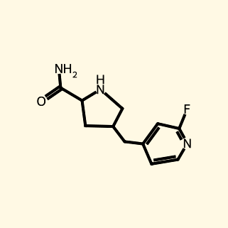 NC(=O)C1CC(Cc2ccnc(F)c2)CN1